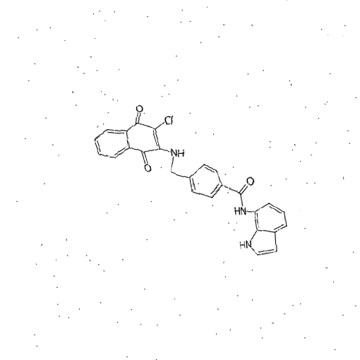 O=C(Nc1cccc2cc[nH]c12)c1ccc(CNC2=C(Cl)C(=O)c3ccccc3C2=O)cc1